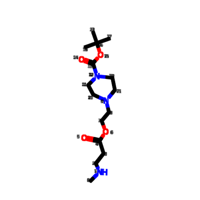 CNCCC(=O)OCCN1CCN(C(=O)OC(C)(C)C)CC1